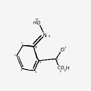 O=C(O)C(Cl)C1=CC=CCC1=NO